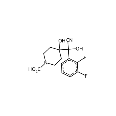 N#CC(O)(c1cccc(F)c1F)C1(O)CCN(C(=O)O)CC1